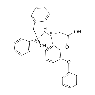 C[C@@](Cc1ccccc1)(N[C@H](CC(=O)O)c1cccc(Oc2ccccc2)c1)c1ccccc1